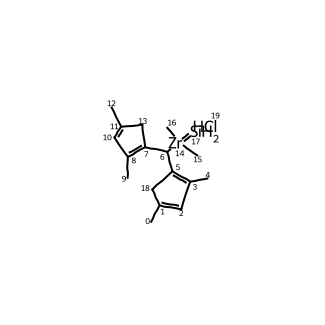 CC1=CC(C)=C([CH](C2=C(C)C=C(C)C2)[Zr]([CH3])([CH3])=[SiH2])C1.Cl